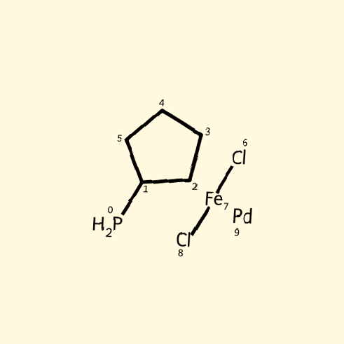 PC1CCCC1.[Cl][Fe][Cl].[Pd]